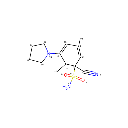 CC1=CC(C#N)(S(N)(=O)=O)C(C)C(N2CCCC2)=C1